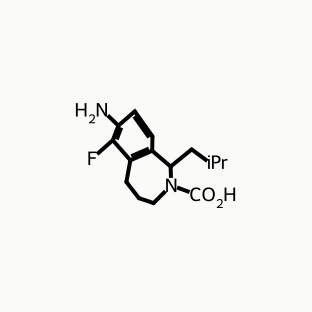 CC(C)CC1c2ccc(N)c(F)c2CCCN1C(=O)O